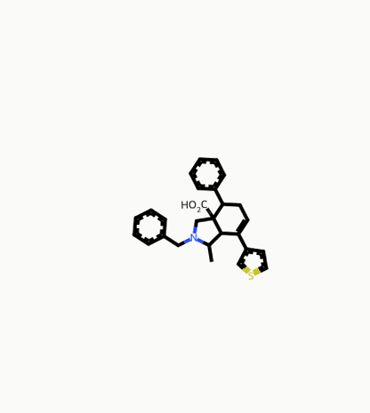 CC1C2C(c3ccsc3)=CCC(c3ccccc3)C2(C(=O)O)CN1Cc1ccccc1